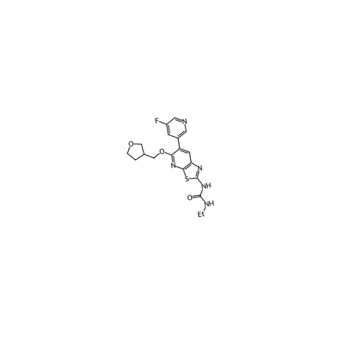 CCNC(=O)Nc1nc2cc(-c3cncc(F)c3)c(OCC3CCOC3)nc2s1